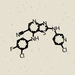 N#Cc1cnc2nc(Nc3ccc(Cl)nc3)sc2c1Nc1ccc(F)c(Cl)c1